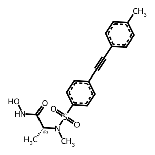 Cc1ccc(C#Cc2ccc(S(=O)(=O)N(C)[C@H](C)C(=O)NO)cc2)cc1